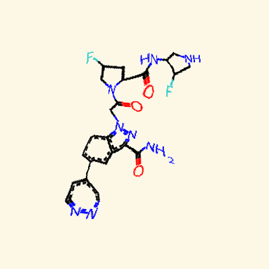 NC(=O)c1nn(CC(=O)N2CC(F)CC2C(=O)NC2CNCC2F)c2ccc(-c3ccnnc3)cc12